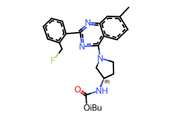 Cc1ccc2c(N3CC[C@@H](NC(=O)OCC(C)C)C3)nc(-c3ccccc3CF)nc2c1